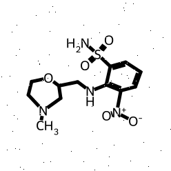 CN1CCOC(CNc2c([N+](=O)[O-])cccc2S(N)(=O)=O)C1